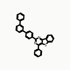 c1ccc(-c2cccc(-c3ccc(-c4nc(-c5ccccc5)c5sc6ccccc6c5n4)cc3)c2)cc1